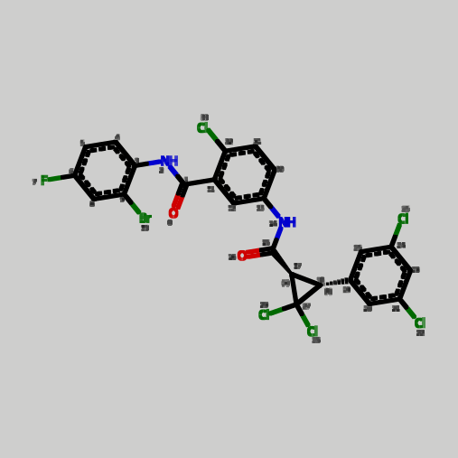 O=C(Nc1ccc(F)cc1Br)c1cc(NC(=O)[C@H]2[C@H](c3cc(Cl)cc(Cl)c3)C2(Cl)Cl)ccc1Cl